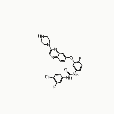 O=C(Nc1ccc(Cl)c(F)c1)Nc1ccc(F)c(Oc2ccc3ncc(N4CCNCC4)nc3c2)c1